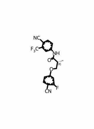 C[C@H](COc1ccc(C#N)c(F)c1)C(=O)Nc1ccc(C#N)c(C(F)(F)F)c1